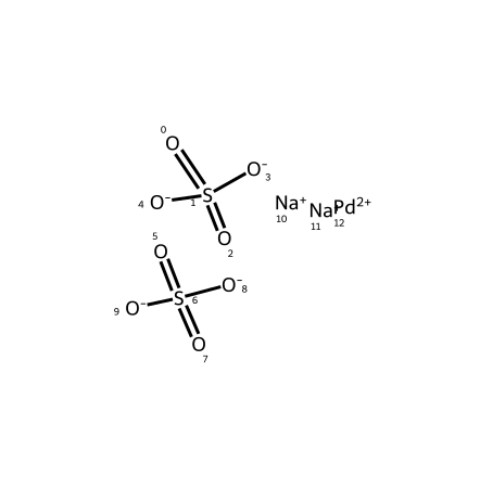 O=S(=O)([O-])[O-].O=S(=O)([O-])[O-].[Na+].[Na+].[Pd+2]